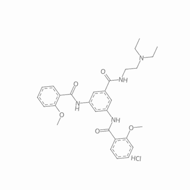 CCN(CC)CCNC(=O)c1cc(NC(=O)c2ccccc2OC)cc(NC(=O)c2ccccc2OC)c1.Cl